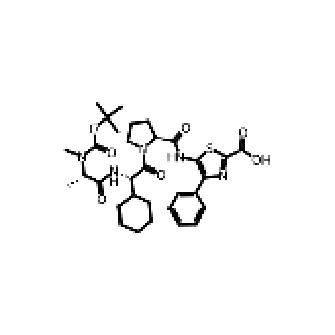 C[C@@H](C(=O)N[C@H](C(=O)N1CCC[C@H]1C(=O)Nc1sc(C(=O)O)nc1-c1ccccc1)C1CCCCC1)N(C)C(=O)OC(C)(C)C